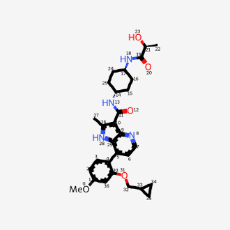 COc1ccc(-c2ccnc3c(C(=O)N[C@H]4CC[C@H](NC(=O)[C@H](C)O)CC4)c(C)[nH]c23)c(OCC2CC2)c1